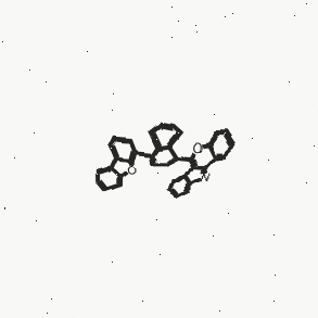 c1ccc2c3c(-c4ccc(-c5cccc6c5oc5ccccc56)c5ccccc45)oc4ccccc4c-3nc2c1